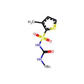 CCCCNC(=O)NS(=O)(=O)c1sccc1C